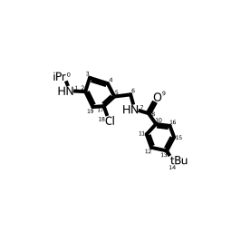 CC(C)Nc1ccc(CNC(=O)c2ccc(C(C)(C)C)cc2)c(Cl)c1